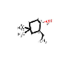 CC[C@H]1CC(C)(C)CC[C@@H]1O